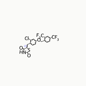 O=C1NC(=O)/C(=C/c2ccc(OCc3ccc(C(F)(F)F)cc3C(F)(F)F)cc2Cl)S1